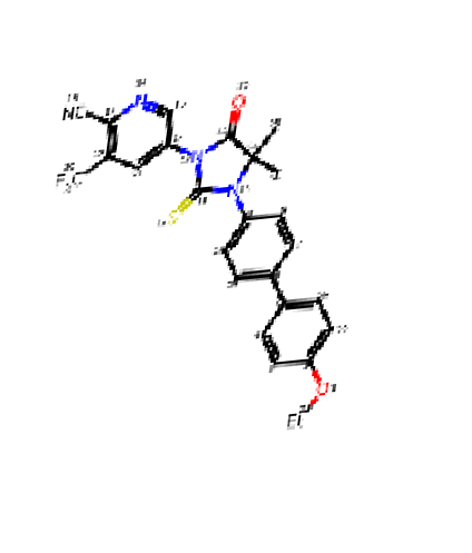 CCOc1ccc(-c2ccc(N3C(=S)N(c4cnc(C#N)c(C(F)(F)F)c4)C(=O)C3(C)C)cc2)cc1